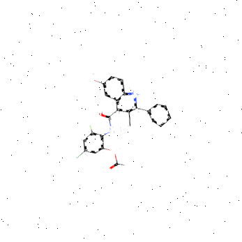 CCCCC(=O)Oc1cc(Cl)cc(F)c1NC(=O)c1c(C)c(-c2ccccc2)nc2ccc(Br)cc12